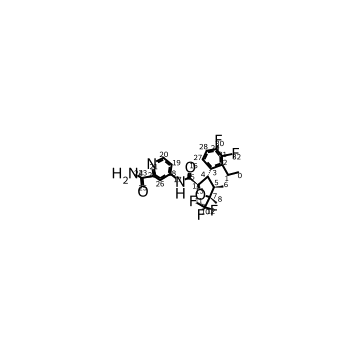 CCc1c([C@@H]2[C@@H](C)[C@](C)(C(F)(F)F)O[C@H]2C(=O)Nc2ccnc(C(N)=O)c2)ccc(F)c1F